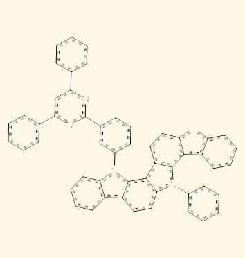 c1ccc(-c2cc(-c3ccccc3)nc(-c3cccc(-n4c5ccccc5c5ccc6c(c7ccc8oc9ccccc9c8c7n6-c6ccccc6)c54)c3)n2)cc1